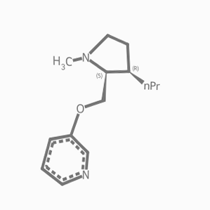 CCC[C@@H]1CCN(C)[C@@H]1COc1cccnc1